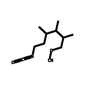 CC(CCN=C=O)C(C)C(C)COC#N